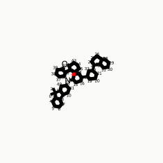 CC1(C)c2ccccc2-c2ccc(N(c3ccc(-c4cccc(-c5cccc6ccccc56)c4)cc3)c3cccc4oc5ccccc5c34)cc21